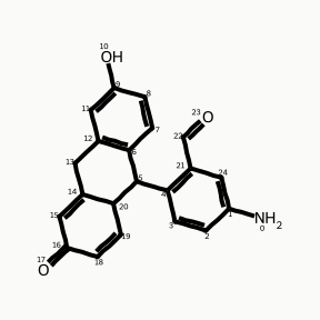 Nc1ccc(C2c3ccc(O)cc3CC3=CC(=O)C=CC32)c(C=O)c1